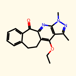 CCOc1c2c(nc3c1c(C)nn3C)C(=O)c1ccccc1CC2